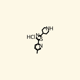 Cc1ccc(-c2cnc(C3CCNCC3)s2)nc1.Cl